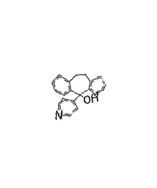 OC1(c2ccncc2)c2ccccc2CCc2ccccc21